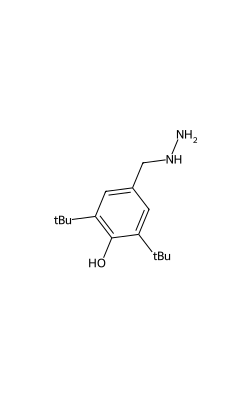 CC(C)(C)c1cc(CNN)cc(C(C)(C)C)c1O